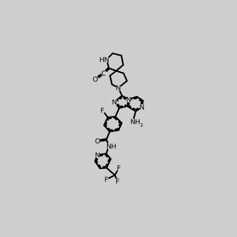 Nc1nccn2c(N3CCC4(CCCNC4=C=O)CC3)nc(-c3ccc(C(=O)Nc4cc(C(F)(F)F)ccn4)cc3F)c12